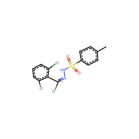 Cc1ccc(S(=O)(=O)N/N=C(/Cl)c2c(Cl)cccc2Cl)cc1